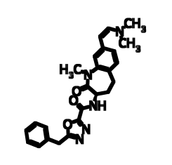 CN(C)/C=C\c1ccc2c(c1)N(C)C(=O)[C@H](NC(=O)c1nnc(Cc3ccccc3)o1)CC2